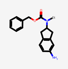 CCN(C(=O)OCc1ccccc1)C1Cc2ccc(N)cc2C1